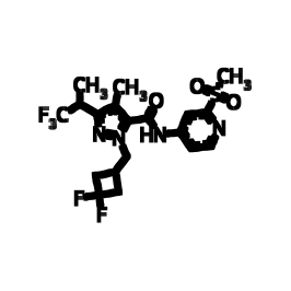 Cc1c(C(C)C(F)(F)F)nn(CC2CC(F)(F)C2)c1C(=O)Nc1ccnc(S(C)(=O)=O)c1